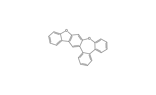 c1ccc2c(c1)Oc1cc3oc4ccccc4c3cc1-c1ccccc1-2